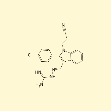 N#CCCn1c(-c2ccc(Cl)cc2)c(/C=N/NC(=N)N)c2ccccc21